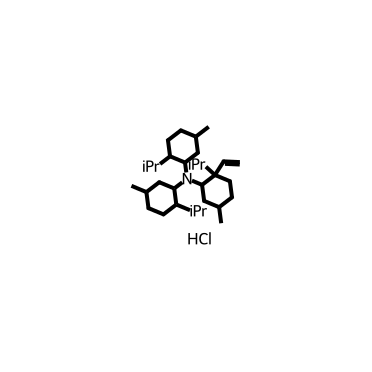 C=CC1(C(C)C)CCC(C)CC1N(C1CC(C)CCC1C(C)C)C1CC(C)CCC1C(C)C.Cl